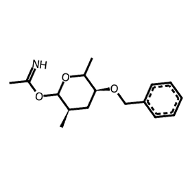 CC(=N)OC1OC(C)[C@@H](OCc2ccccc2)C[C@H]1C